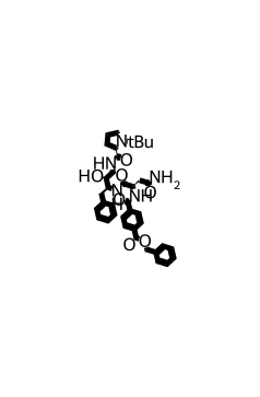 CC(C)(C)N1CCC[C@H]1C(=O)NC[C@@H](O)[C@H](Cc1ccccc1)NC(=O)[C@H](CC(N)=O)NC(=O)c1ccc(C(=O)OCc2ccccc2)cc1